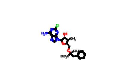 CCOC(=O)C(Cc1ccccc1)(OC[C@H]1O[C@@H](n2cnc3c(N)nc(Cl)nc32)[C@H](O)[C@H]1C)C(=O)OCC